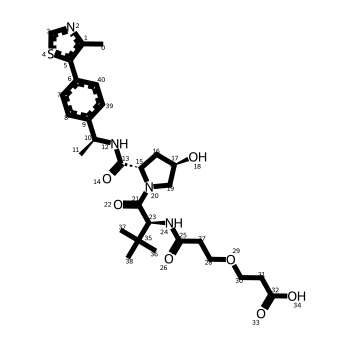 Cc1ncsc1-c1ccc([C@H](C)NC(=O)[C@@H]2C[C@@H](O)CN2C(=O)[C@@H](NC(=O)CCOCCC(=O)O)C(C)(C)C)cc1